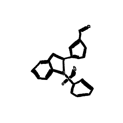 O=Cc1cccc(-c2cc3ccccc3n2S(=O)(=O)c2ccccc2)c1